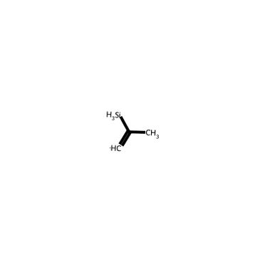 [CH]=C(C)[SiH3]